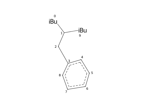 CCC(C)C(Cc1ccccc1)C(C)CC